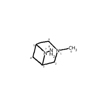 CN1CC2CC(C1)N2N